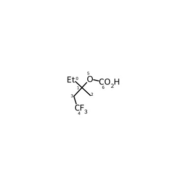 CCC(C)(CC(F)(F)F)OC(=O)O